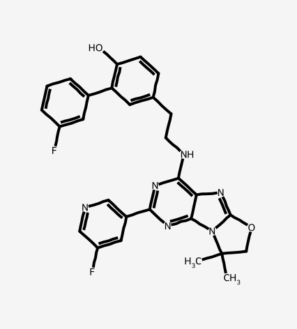 CC1(C)COc2nc3c(NCCc4ccc(O)c(-c5cccc(F)c5)c4)nc(-c4cncc(F)c4)nc3n21